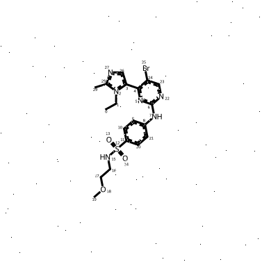 CCn1c(-c2nc(Nc3ccc(S(=O)(=O)NCCOC)cc3)ncc2Br)cnc1C